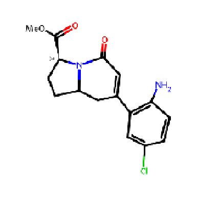 COC(=O)[C@@H]1CCC2CC(c3cc(Cl)ccc3N)=CC(=O)N21